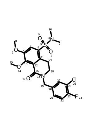 COc1cc(S(=O)(=O)N(C)C)c2c(c1OC)C(=O)N(Cc1ccc(F)c(Cl)c1)CC2